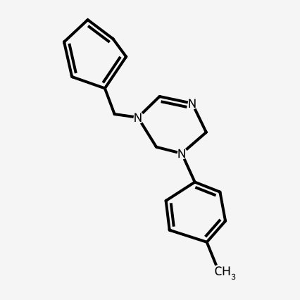 Cc1ccc(N2CN=CN(Cc3ccccc3)C2)cc1